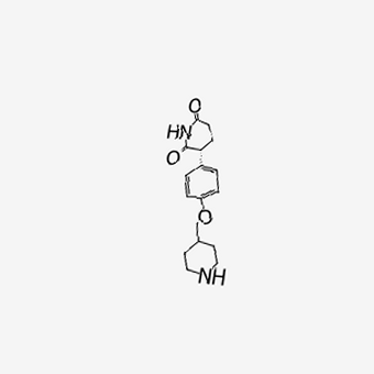 O=C1CC[C@H](c2ccc(OCC3CCNCC3)cc2)C(=O)N1